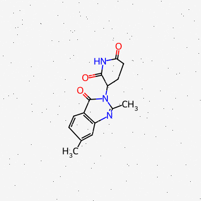 Cc1ccc2c(=O)n(C3CCC(=O)NC3=O)c(C)nc2c1